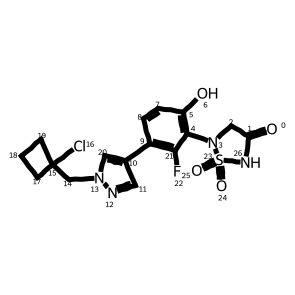 O=C1CN(c2c(O)ccc(-c3cnn(CC4(Cl)CCC4)c3)c2F)S(=O)(=O)N1